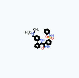 CCN(C)Cc1ccc(NC(=C2C(=O)Nc3ccc(S(=O)(=O)Nc4ccccc4)cc32)c2ccccc2)cc1